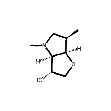 C[C@@H]1CN(C)[C@H]2[C@@H]1OC[C@@H]2O